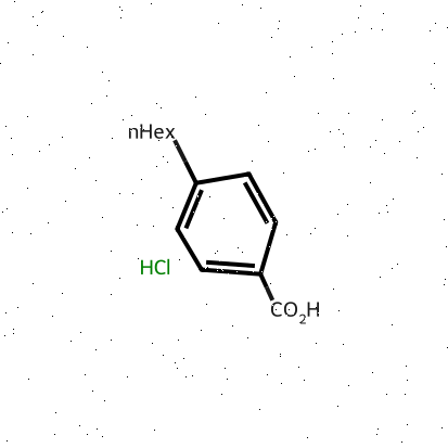 CCCCCCc1ccc(C(=O)O)cc1.Cl